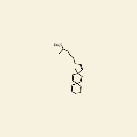 CCOC(=O)C(C)CCCC/C=C\C1(C)C=CC2(C=CCC=C2)C=C1